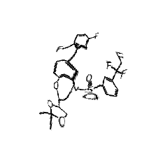 CC1(C)OC[C@H](C2CN(S(=O)(=O)c3cccc(C(F)(F)F)c3)c3cc(-c4cc(F)ccc4F)ccc3O2)O1